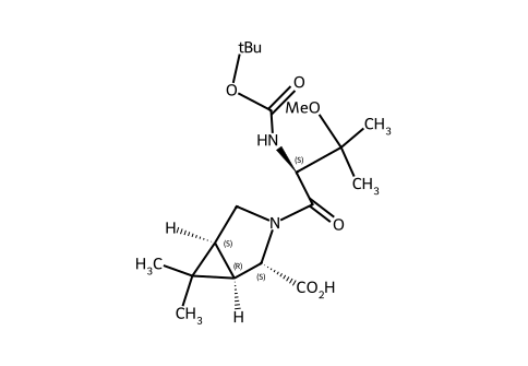 COC(C)(C)[C@H](NC(=O)OC(C)(C)C)C(=O)N1C[C@H]2[C@@H]([C@H]1C(=O)O)C2(C)C